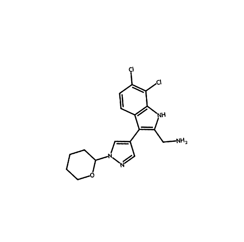 NCc1[nH]c2c(Cl)c(Cl)ccc2c1-c1cnn(C2CCCCO2)c1